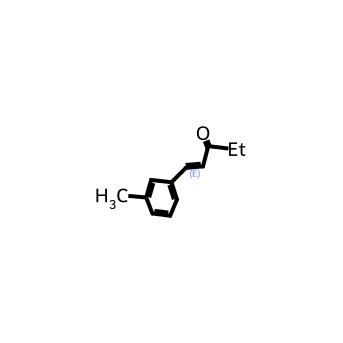 CCC(=O)/C=C/c1cccc(C)c1